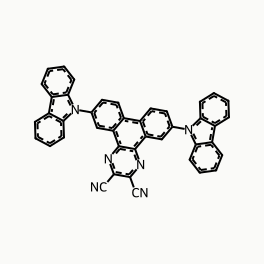 N#Cc1nc2c3cc(-n4c5ccccc5c5ccccc54)ccc3c3ccc(-n4c5ccccc5c5ccccc54)cc3c2nc1C#N